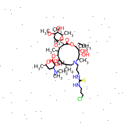 CC[C@H]1OC(=O)[C@H](C)[C@@H](O[C@H]2C[C@@](C)(OC)[C@@H](O)[C@H](C)O2)[C@H](C)[C@@H](O[C@@H]2O[C@H](C)C[C@H](N(C)C)[C@H]2O)[C@](C)(O)C[C@@H](C)CN(CCCNC(=S)NCCCCl)[C@H](C)[C@@H](O)[C@]1(C)O